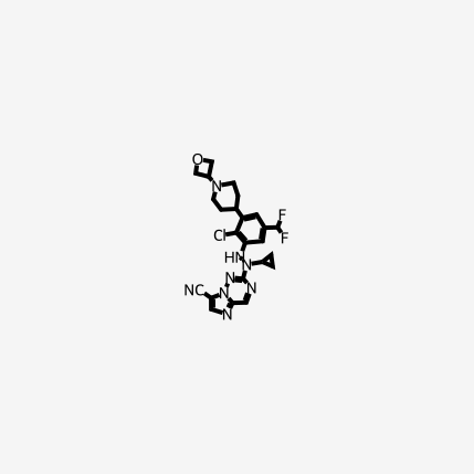 N#Cc1cnc2cnc(N(Nc3cc(C(F)F)cc(C4CCN(C5COC5)CC4)c3Cl)C3CC3)nn12